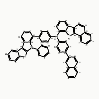 c1ccc(-n2c3sc4ccccc4c3c3cccc(-c4ccc(N(c5ccc(-c6ccc7ccccc7c6)cc5)c5cccc6c5sc5c7ccccc7ccc65)cc4)c32)cc1